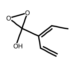 C=CC(=CC)C1(O)OO1